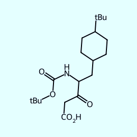 CC(C)(C)OC(=O)NC(CC1CCC(C(C)(C)C)CC1)C(=O)CC(=O)O